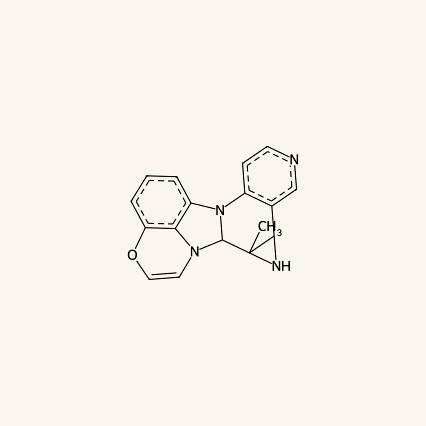 CC12NC1c1cnccc1N1c3cccc4c3N(C=CO4)C12